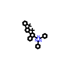 CC1(C)c2ccccc2-c2ccc3c(c21)C(C)(C)c1cc(-c2nc(-c4ccccc4)nc(-c4ccccc4)n2)c2ccccc2c1-3